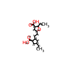 CCC1CC(CCC2CC(C(=O)O)C(CC)O2)C(C(=O)O)C1